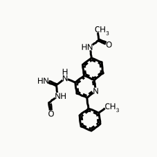 CC(=O)Nc1ccc2nc(-c3ccccc3C)cc(NC(=N)NC=O)c2c1